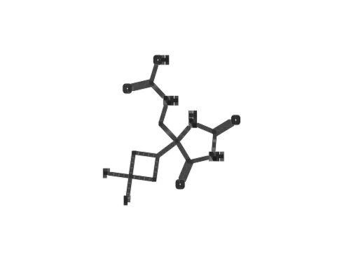 O=C(O)NCC1(C2CC(F)(F)C2)NC(=O)NC1=O